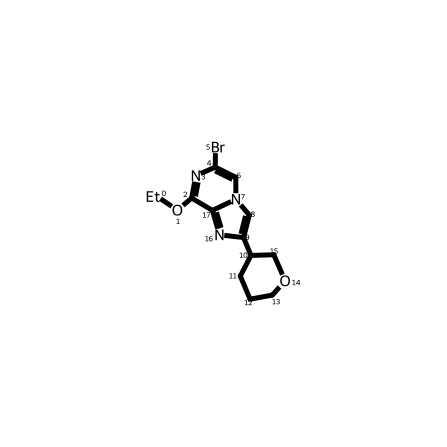 CCOc1nc(Br)cn2cc(C3CCCOC3)nc12